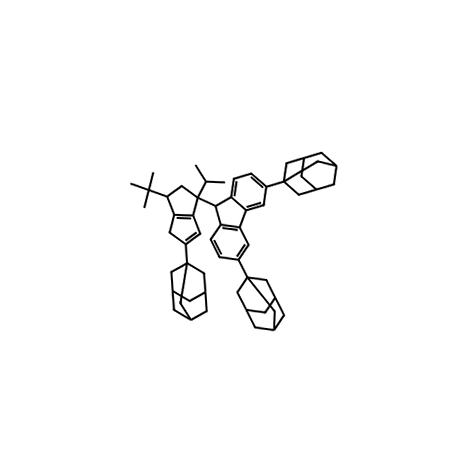 CC(C)C1(C2c3ccc(C45CC6CC(CC(C6)C4)C5)cc3-c3cc(C45CC6CC(CC(C6)C4)C5)ccc32)CC(C(C)(C)C)C2=C1C=C(C13CC4CC(CC(C4)C1)C3)C2